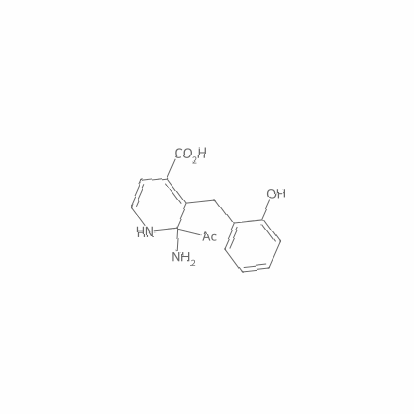 CC(=O)C1(N)NC=CC(C(=O)O)=C1Cc1ccccc1O